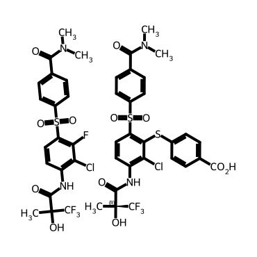 CN(C)C(=O)c1ccc(S(=O)(=O)c2ccc(NC(=O)C(C)(O)C(F)(F)F)c(Cl)c2F)cc1.CN(C)C(=O)c1ccc(S(=O)(=O)c2ccc(NC(=O)[C@@](C)(O)C(F)(F)F)c(Cl)c2Sc2ccc(C(=O)O)cc2)cc1